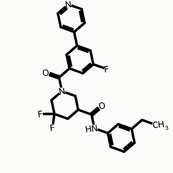 CCc1cccc(NC(=O)C2CN(C(=O)c3cc(F)cc(-c4ccncc4)c3)CC(F)(F)C2)c1